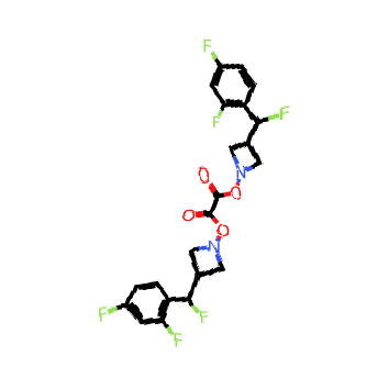 O=C(ON1CC(C(F)c2ccc(F)cc2F)C1)C(=O)ON1CC(C(F)c2ccc(F)cc2F)C1